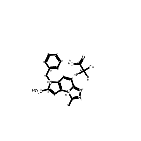 Cc1nnc2ccc3c(cc(C(=O)O)n3Cc3ccccc3)n12.O=C(O)C(F)(F)F